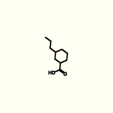 CCCC1CCCC(C(=O)O)C1